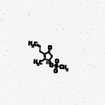 C=CCC1=C(C)[C@H](OS(C)(=O)=O)CC1=O